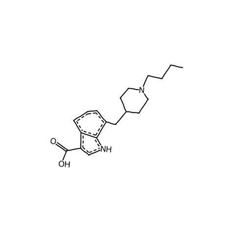 CCCCN1CCC(Cc2cccc3c(C(=O)O)c[nH]c23)CC1